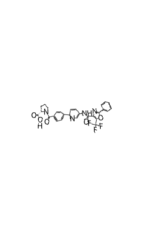 O=C(Nc1ccc(-c2ccc(C(=O)N3CCC[C@H]3C(=O)O)cc2)nc1)c1nc(-c2ccccc2)oc1C(F)(F)F